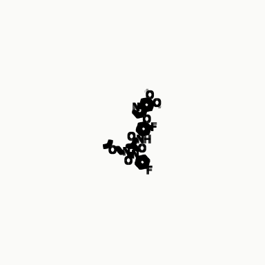 COc1cc2nccc(Oc3ccc(NC(=O)c4cn(CCOC(C)C)c(=O)n(-c5ccc(F)cc5)c4=O)cc3F)c2cc1OC